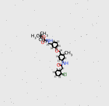 Cc1cc(NC(=O)Cc2ccccc2Cl)ccc1COc1cccc(CNC(=O)OC(C)(C)C)c1